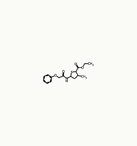 CCOC(=O)C1SC(NC(=O)COc2ccccc2)CC1C